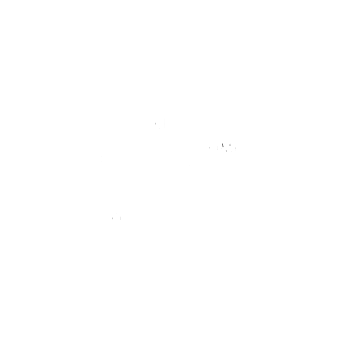 COc1ccc(O)c(Cl)c1Cl